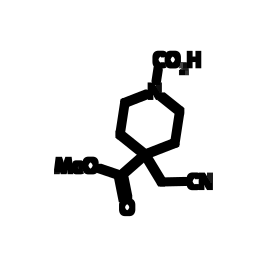 COC(=O)C1(CC#N)CCN(C(=O)O)CC1